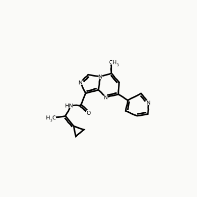 CC(NC(=O)c1ncn2c(C)cc(-c3cccnc3)nc12)=C1CC1